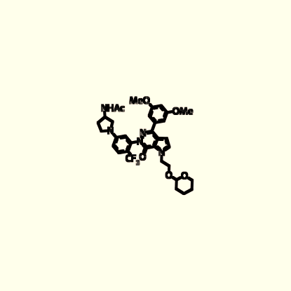 COc1cc(OC)cc(-c2nn(-c3cc(N4CCC(NC(C)=O)C4)ccc3C(F)(F)F)c(=O)c3c2ccn3CCOC2CCCCO2)c1